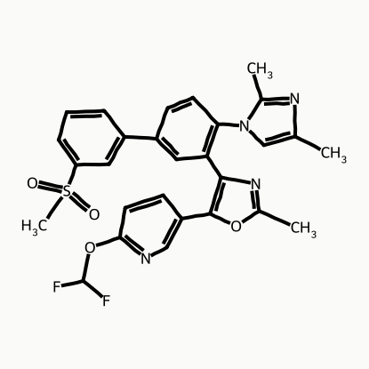 Cc1cn(-c2ccc(-c3cccc(S(C)(=O)=O)c3)cc2-c2nc(C)oc2-c2ccc(OC(F)F)nc2)c(C)n1